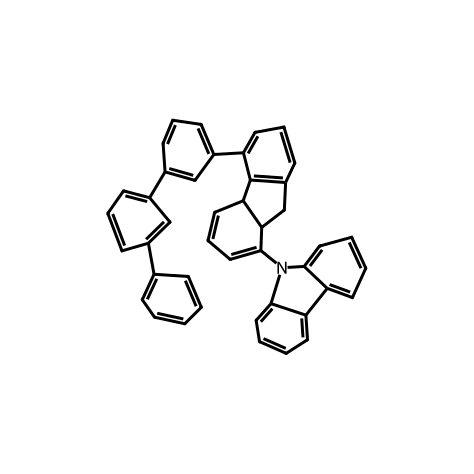 C1=CC2c3c(cccc3-c3cccc(-c4cccc(-c5ccccc5)c4)c3)CC2C(n2c3ccccc3c3ccccc32)=C1